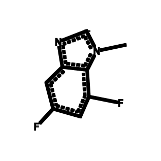 Cn1[c]nc2cc(F)cc(F)c21